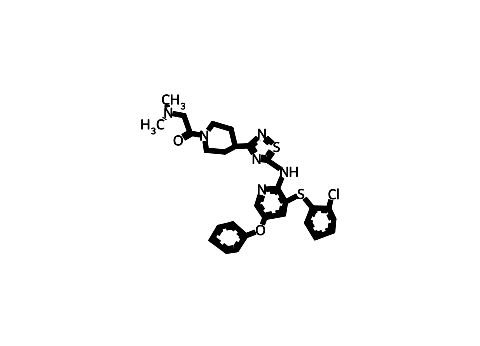 CN(C)CC(=O)N1CCC(c2nsc(Nc3ncc(Oc4ccccc4)cc3Sc3ccccc3Cl)n2)CC1